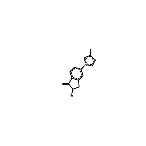 Cc1cn(-c2ccc3c(c2)CC(Br)C3=O)cn1